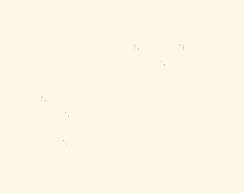 Fc1ccc(-c2c3ccc(N(c4ccccn4)c4ccccn4)cc3c(-c3ccc(F)cc3)c3cc(N(c4ccccn4)c4ccccn4)ccc23)cc1